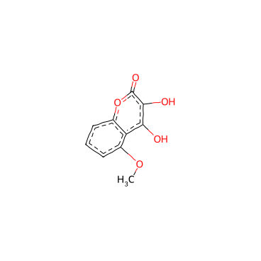 COc1cccc2oc(=O)c(O)c(O)c12